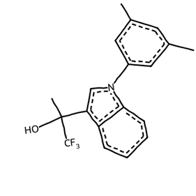 Cc1cc(C)cc(-n2cc(C(C)(O)C(F)(F)F)c3ccccc32)c1